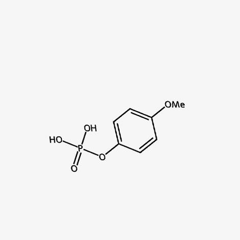 COc1ccc(OP(=O)(O)O)cc1